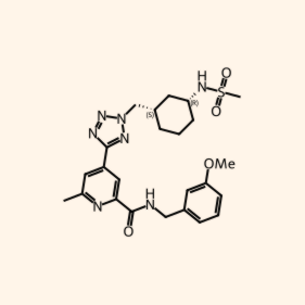 COc1cccc(CNC(=O)c2cc(-c3nnn(C[C@H]4CCC[C@@H](NS(C)(=O)=O)C4)n3)cc(C)n2)c1